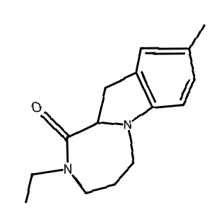 CCN1CCCN2c3ccc(C)cc3CC2C1=O